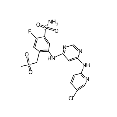 CS(=O)(=O)Cc1cc(F)c(S(N)(=O)=O)cc1Nc1cc(Nc2ccc(Cl)cn2)ncn1